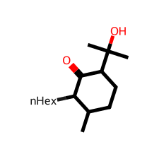 CCCCCCC1C(=O)C(C(C)(C)O)CCC1C